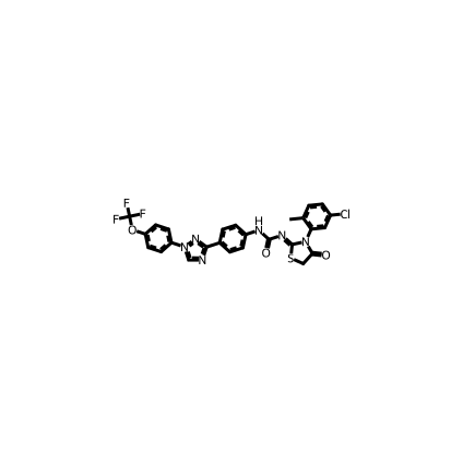 Cc1ccc(Cl)cc1N1C(=O)CS/C1=N\C(=O)Nc1ccc(-c2ncn(-c3ccc(OC(F)(F)F)cc3)n2)cc1